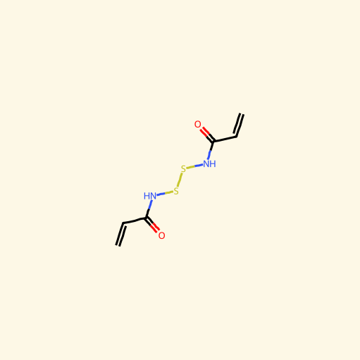 C=CC(=O)NSSNC(=O)C=C